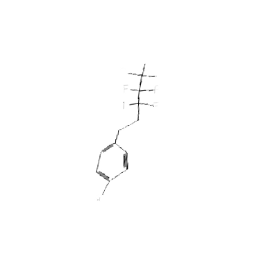 FC(F)(F)C(F)(F)C(F)(F)CCc1ccc(Br)cc1